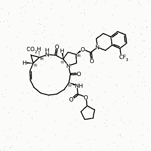 O=C(N[C@H]1CCCCCC=C[C@@H]2C[C@@]2(C(=O)O)NC(=O)[C@@H]2C[C@@H](OC(=O)N3CCc4cccc(C(F)(F)F)c4C3)CN2C1=O)OC1CCCC1